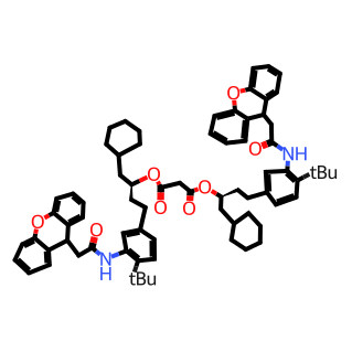 CC(C)(C)c1ccc(CC[C@@H](CC2CCCCC2)OC(=O)CC(=O)O[C@@H](CCc2ccc(C(C)(C)C)c(NC(=O)CC3c4ccccc4Oc4ccccc43)c2)CC2CCCCC2)cc1NC(=O)CC1c2ccccc2Oc2ccccc21